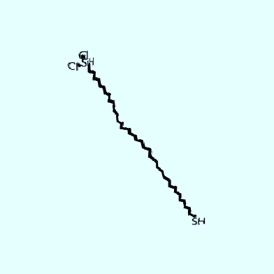 SCCCCCCCCCCCCCCCCCCCCCCCCCCCCCCCCCCCCCCC[SiH](Cl)Cl